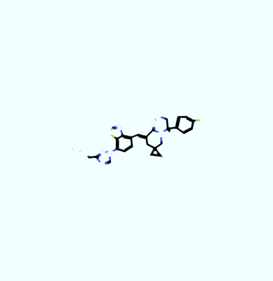 COCc1ncn(-c2ccc(/C=C3\CC4(CC4)CN4C3=NNCC4(C)c3ccc(F)cc3)c3ncsc23)n1